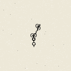 C=CC(=O)OCCCCCOC(=O)c1ccc(C2CCC(C)CC2)cc1